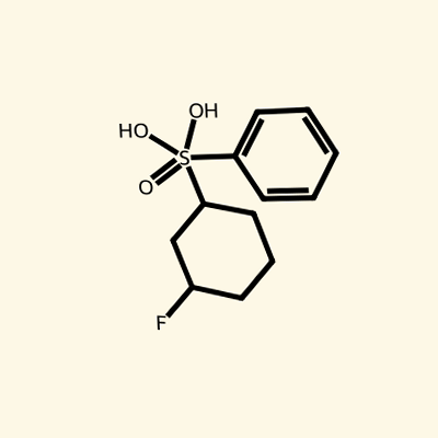 O=S(O)(O)(c1ccccc1)C1CCCC(F)C1